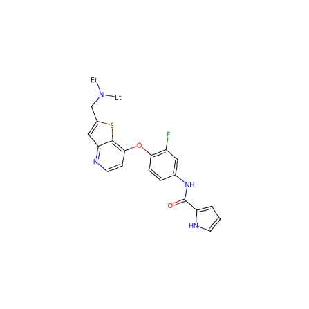 CCN(CC)Cc1cc2nccc(Oc3ccc(NC(=O)c4ccc[nH]4)cc3F)c2s1